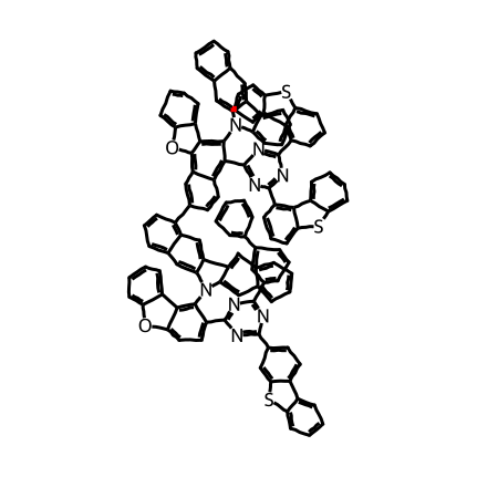 c1ccc(-c2cccc(-c3nc(-c4ccc5c(c4)sc4ccccc45)nc(-c4ccc5oc6ccccc6c5c4-n4c5cc6ccccc6cc5c5cc6c(-c7ccc8c(-c9nc(-c%10cccc%11sc%12ccccc%12c%10%11)nc(-c%10cccc%11sc%12ccccc%12c%10%11)n9)c(-n9c%10ccccc%10c%10cc%11ccccc%11cc%109)c9c%10ccccc%10oc9c8c7)cccc6cc54)n3)c2)cc1